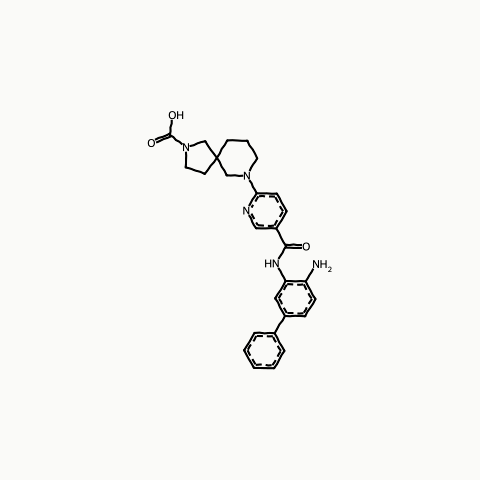 Nc1ccc(-c2ccccc2)cc1NC(=O)c1ccc(N2CCCC3(CCN(C(=O)O)C3)C2)nc1